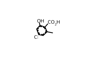 Cc1cccc(O)c1C(=O)O.[C]